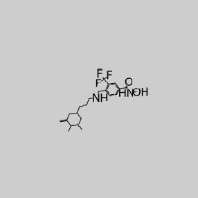 C=C1CC(CCCNCc2ccc(C(=O)NO)cc2C(F)(F)F)CC(C)C1C